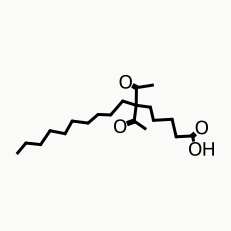 CCCCCCCCCCC(CCCCC(=O)O)(C(C)=O)C(C)=O